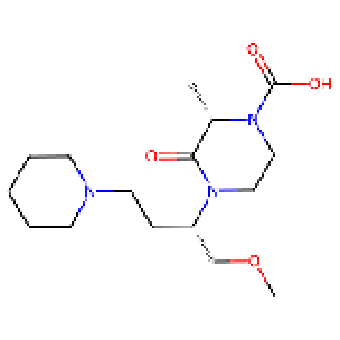 COC[C@H](CCN1CCCCC1)N1CCN(C(=O)O)[C@@H](C)C1=O